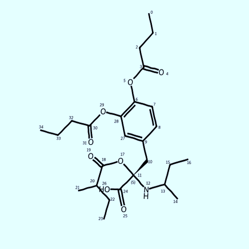 CCCC(=O)Oc1ccc(C[C@](NC(C)CC)(OC(=O)C(C)CC)C(=O)O)cc1OC(=O)CCC